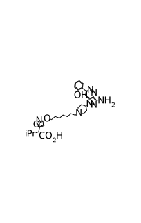 CC(C)C(C(=O)O)c1cc(OCCCCCCCN2CCC(n3nc(N)c4nnc(-c5ccccc5O)cc43)CC2)no1